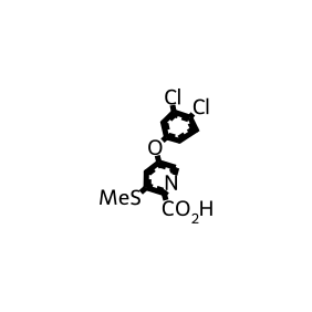 CSc1cc(Oc2ccc(Cl)c(Cl)c2)cnc1C(=O)O